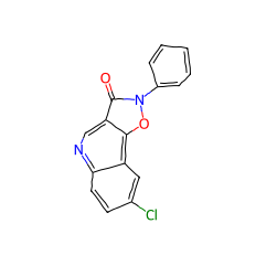 O=c1c2cnc3ccc(Cl)cc3c2on1-c1ccccc1